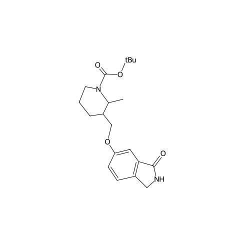 CC1C(COc2ccc3c(c2)C(=O)NC3)CCCN1C(=O)OC(C)(C)C